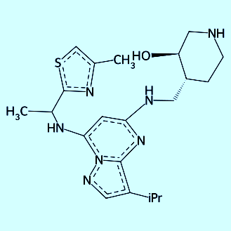 Cc1csc(C(C)Nc2cc(NC[C@H]3CCNC[C@@H]3O)nc3c(C(C)C)cnn23)n1